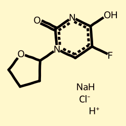 O=c1nc(O)c(F)cn1C1CCCO1.[Cl-].[H+].[NaH]